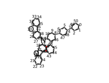 c1ccc(-c2ccc(-c3ccc(N(c4ccc5c(c4)oc4ccccc45)c4ccc5oc6ccccc6c5c4)c(-c4ccccc4)c3)cc2)cc1